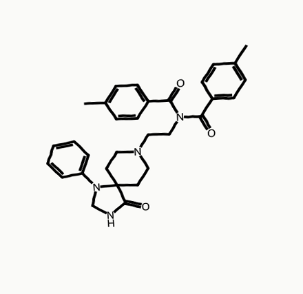 Cc1ccc(C(=O)N(CCN2CCC3(CC2)C(=O)NCN3c2ccccc2)C(=O)c2ccc(C)cc2)cc1